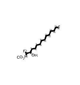 O=C(O)C(F)C(O)CCCCCCCCCCCF